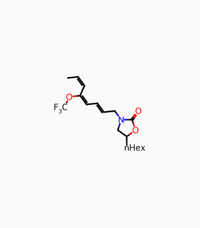 C\C=C/C(=C\C=C\CN1CC(CCCCCC)OC1=O)OC(F)(F)F